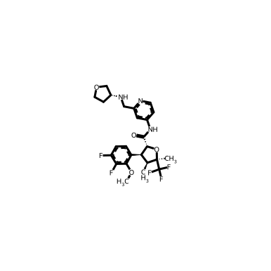 COc1c([C@H]2[C@H](C(=O)Nc3ccnc(CN[C@@H]4CCOC4)c3)O[C@@](C)(C(F)(F)F)[C@H]2C)ccc(F)c1F